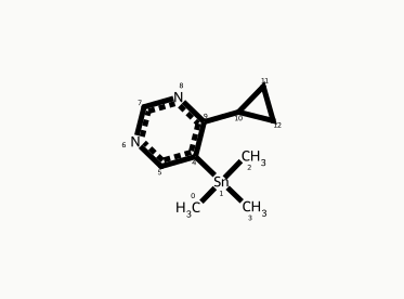 [CH3][Sn]([CH3])([CH3])[c]1cncnc1C1CC1